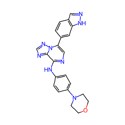 c1nc2c(Nc3ccc(N4CCOCC4)cc3)ncc(-c3ccc4cn[nH]c4c3)n2n1